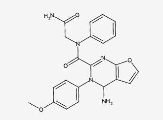 COc1ccc(N2C(C(=O)N(CC(N)=O)c3ccccc3)=Nc3occc3C2N)cc1